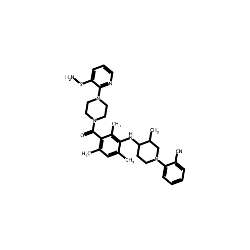 Cc1cc(C)c(C(=O)N2CCN(c3ncccc3SN)CC2)c(C)c1NC1CCN(c2ccccc2C#N)CC1C